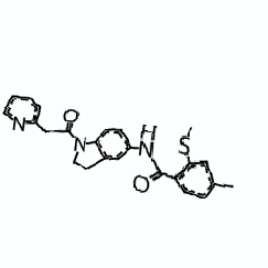 CSc1cc(C)ccc1C(=O)Nc1ccc2c(c1)CCN2C(=O)Cc1ccccn1